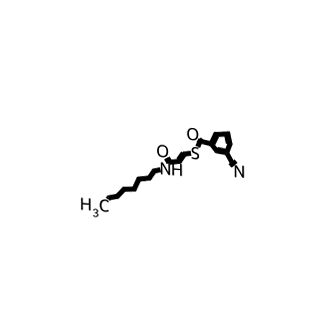 CCCCCCCCNC(=O)C=CSC(=O)c1cccc(C#N)c1